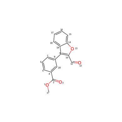 COC(=O)c1cccc(-c2c(C=O)oc3ccccc23)c1